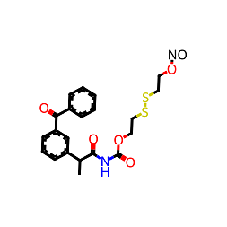 CC(C(=O)NC(=O)OCCSSCCON=O)c1cccc(C(=O)c2ccccc2)c1